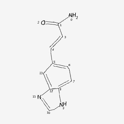 NC(=O)C=Cc1ccc2[nH]cnc2c1